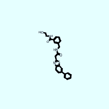 O=C(Cc1nc2ccc(-c3ccccc3)cc2s1)NCc1cccc(C(=O)NCCO)c1